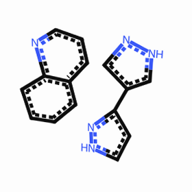 c1cc(-c2cn[nH]c2)n[nH]1.c1ccc2ncccc2c1